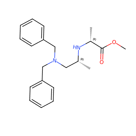 COC(=O)[C@@H](C)N[C@H](C)CN(Cc1ccccc1)Cc1ccccc1